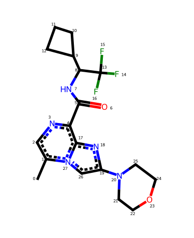 Cc1cnc(C(=O)NC(C2CCC2)C(F)(F)F)c2nc(N3CCOCC3)cn12